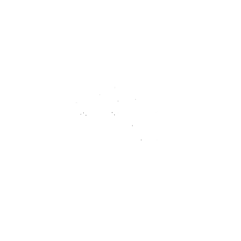 C#CCN(C(C)Cc1ccccc1)S(=O)(=O)N(C)C